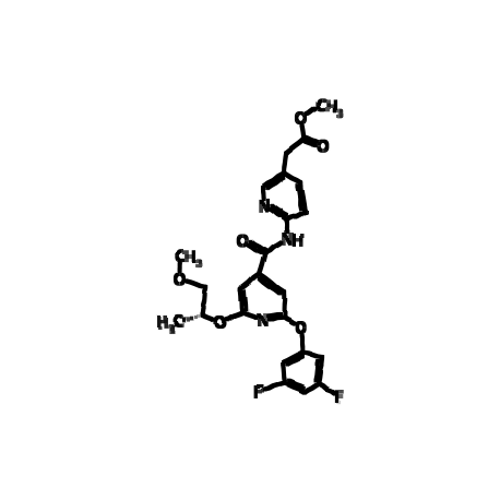 COC[C@@H](C)Oc1cc(C(=O)Nc2ccc(CC(=O)OC)cn2)cc(Oc2cc(F)cc(F)c2)n1